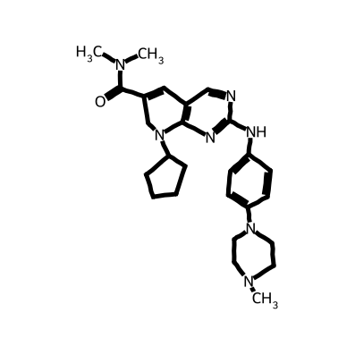 CN1CCN(c2ccc(Nc3ncc4c(n3)N(C3CCCC3)CC(C(=O)N(C)C)=C4)cc2)CC1